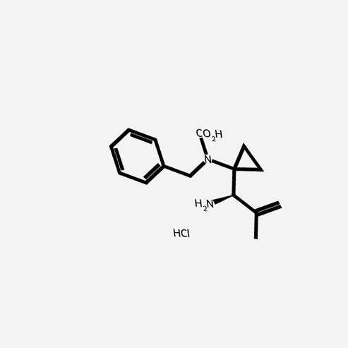 C=C(C)[C@@H](N)C1(N(Cc2ccccc2)C(=O)O)CC1.Cl